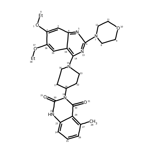 CCOc1cc2nc(N3CCOCC3)nc(N3CCC(n4c(=O)[nH]c5cccc(C)c5c4=O)CC3)c2cc1OCC